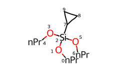 CCCO[Si](OCCC)(OCCC)C1CC1